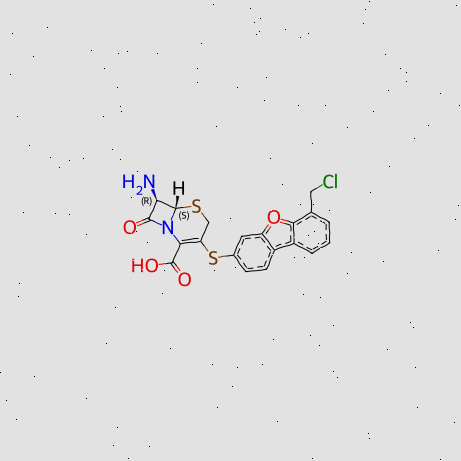 N[C@@H]1C(=O)N2C(C(=O)O)=C(Sc3ccc4c(c3)oc3c(CCl)cccc34)CS[C@@H]12